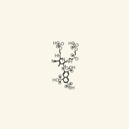 Cc1c(C#N)c(NCCOS(=O)(=O)O)nc(NCCS(=O)(=O)CCOS(=O)(=O)O)c1/N=N/c1cc2c(S(=O)(=O)O)cc(S(=O)(=O)O)cc2cc1S(=O)(=O)O